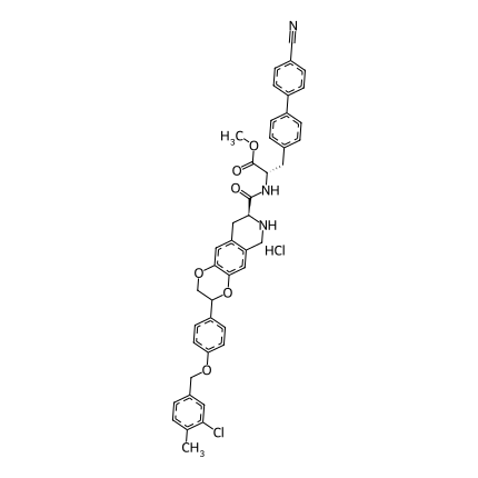 COC(=O)[C@H](Cc1ccc(-c2ccc(C#N)cc2)cc1)NC(=O)[C@@H]1Cc2cc3c(cc2CN1)OC(c1ccc(OCc2ccc(C)c(Cl)c2)cc1)CO3.Cl